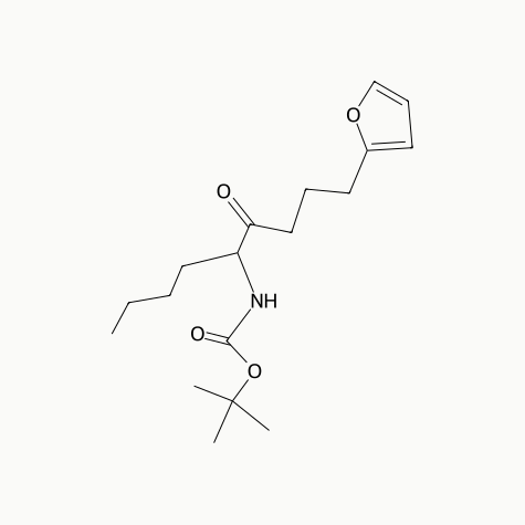 CCCCC(NC(=O)OC(C)(C)C)C(=O)CCCc1ccco1